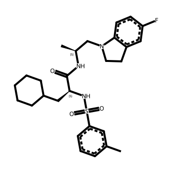 Cc1cccc(S(=O)(=O)N[C@@H](CC2CCCCC2)C(=O)N[C@@H](C)CN2CCc3cc(F)ccc32)c1